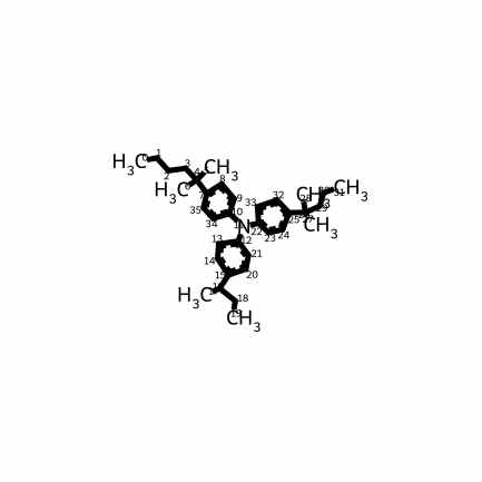 CCCCC(C)(C)c1ccc(N(c2ccc(C(C)CC)cc2)c2ccc(C(C)(C)CCC)cc2)cc1